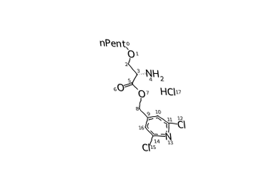 CCCCCOC[C@H](N)C(=O)OCc1cc(Cl)nc(Cl)c1.Cl